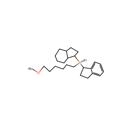 CCS(CCCCCCOC(C)(C)C)(C1CCc2ccccc21)C1CCC2CCCCC21